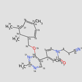 C/C=C(\C=C/N(C=O)CCC#N)c1cnc(C)nc1OCC1\C=C/C(C)=C\C=C(/C)[C@H]1C